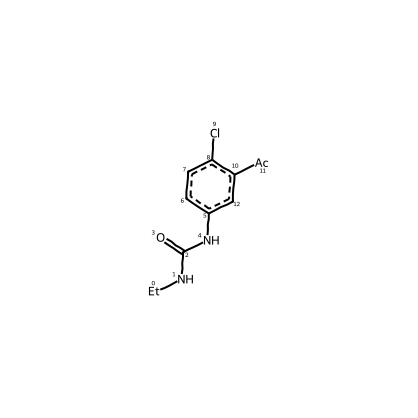 CCNC(=O)Nc1ccc(Cl)c(C(C)=O)c1